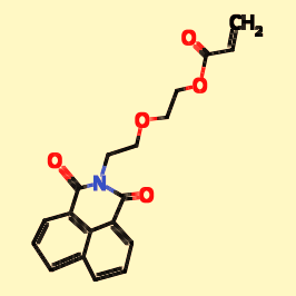 C=CC(=O)OCCOCCN1C(=O)c2cccc3cccc(c23)C1=O